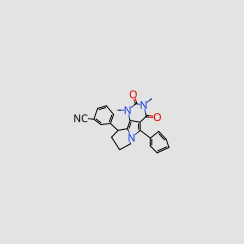 Cn1c(=O)c2c(-c3ccccc3)n3c(c2n(C)c1=O)C(c1cccc(C#N)c1)CCC3